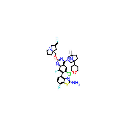 Nc1nc2c(-c3c(Cl)cc4c(N5C[C@@H]6CC[C@](C7CCOCC7)(C5)N6)nc(OC[C@@]56CCCN5C/C(=C\F)C6)nc4c3F)ccc(F)c2s1